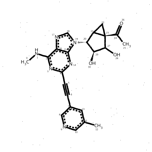 CNc1nc(C#Cc2cncc(C)c2)nc2c1ncn2[C@@H]1C2C[C@]2(C(C)=O)C(O)[C@H]1O